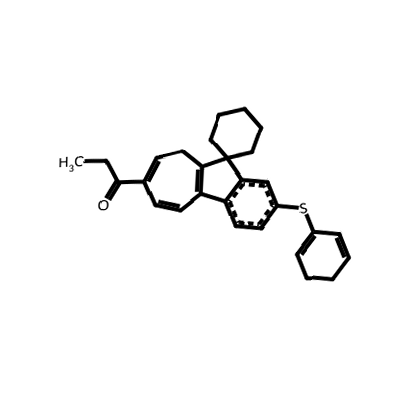 CCC(=O)C1=CCC2=C(C=C1)c1ccc(SC3=CCCC=C3)cc1C21CCCCC1